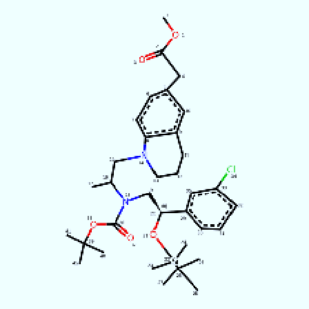 COC(=O)Cc1ccc2c(c1)CCCN2CC(C)N(C[C@H](O[Si](C)(C)C(C)(C)C)c1cccc(Cl)c1)C(=O)OC(C)(C)C